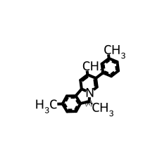 CC1=CC2c3cc(C)ccc3[C@@H](C)N2C=C1c1cccc(C)c1